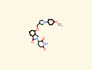 O=C1CCC(N2Cc3c(OCC4CCN(c5ccc(OC(F)(F)F)cc5)C4)cccc3C2=O)C(=O)N1